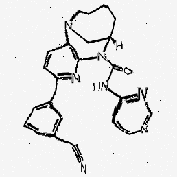 N#Cc1cccc(-c2ccc3c(n2)N(C(=O)Nc2ccncn2)[C@H]2CCCN3C2)c1